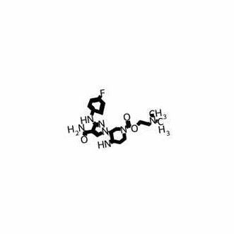 CN(C)CCOC(=O)N1CCC(=N)[C@H](n2cc(C(N)=O)c(Nc3ccc(F)cc3)n2)C1